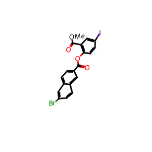 COC(=O)c1cc(I)ccc1OC(=O)c1ccc2cc(Br)ccc2c1